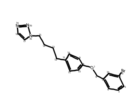 Brc1cccc(COc2ccc(CCCCn3ccnn3)cc2)c1